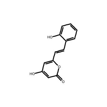 O=c1cc(O)cc(C=Cc2ccccc2O)o1